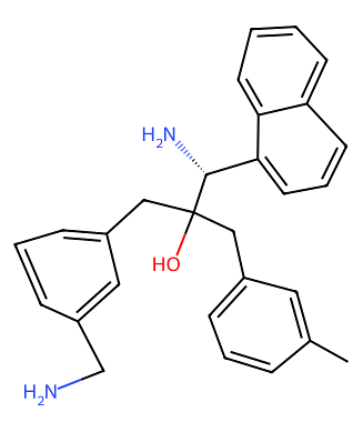 Cc1cccc(CC(O)(Cc2cccc(CN)c2)[C@H](N)c2cccc3ccccc23)c1